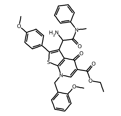 CCOC(=O)c1cn(Cc2ccccc2OC)c2sc(-c3ccc(OC)cc3)c(C(N)C(=O)N(C)c3ccccc3)c2c1=O